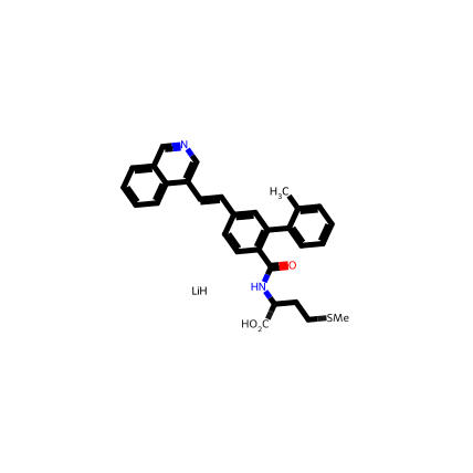 CSCCC(NC(=O)c1ccc(C=Cc2cncc3ccccc23)cc1-c1ccccc1C)C(=O)O.[LiH]